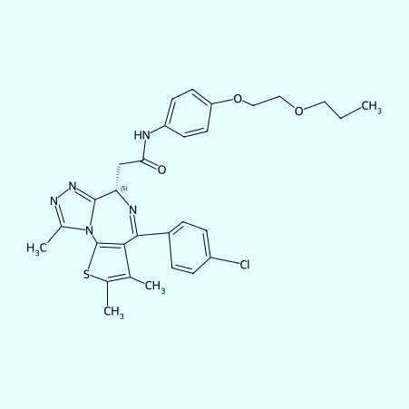 CCCOCCOc1ccc(NC(=O)C[C@@H]2N=C(c3ccc(Cl)cc3)c3c(sc(C)c3C)-n3c(C)nnc32)cc1